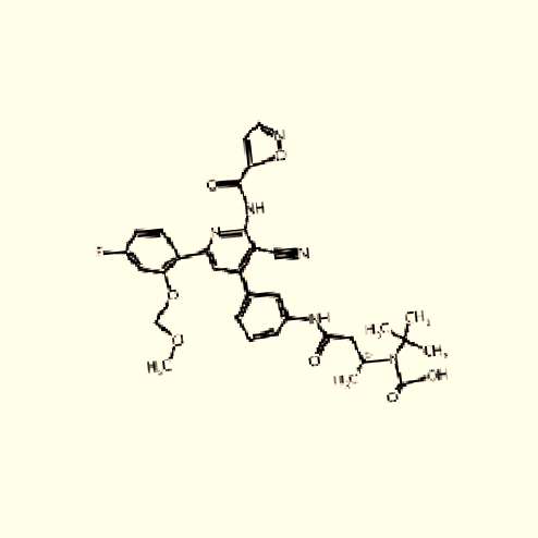 COCOc1cc(F)ccc1-c1cc(-c2cccc(NC(=O)C[C@H](C)N(C(=O)O)C(C)(C)C)c2)c(C#N)c(NC(=O)c2ccno2)n1